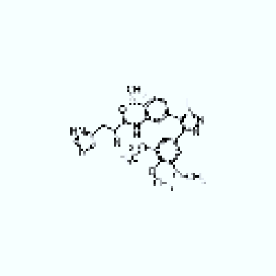 COc1ccc(-c2[nH]nnc2-c2cc(OC)c(OC)c(OC)c2)cc1NC(=O)C(N)Cc1cnc[nH]1